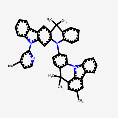 Cc1cc2c3c(c1)c1ccccc1n3-c1cc(N3c4ccccc4C(C)(C)c4cc5c6ccccc6n(-c6cc(C(C)(C)C)ccn6)c5cc43)ccc1C2(C)C